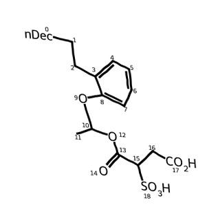 CCCCCCCCCCCCc1ccccc1OC(C)OC(=O)C(CC(=O)O)S(=O)(=O)O